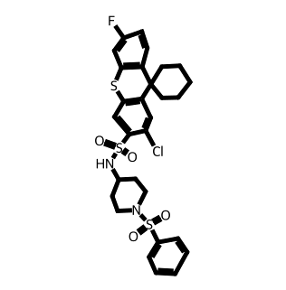 O=S(=O)(NC1CCN(S(=O)(=O)c2ccccc2)CC1)c1cc2c(cc1Cl)C1(CCCCC1)c1ccc(F)cc1S2